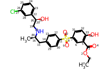 CCOC(=O)c1cc(S(=O)(=O)c2ccc(C[C@@H](C)NC[C@H](O)c3cccc(Cl)c3)cc2)ccc1O